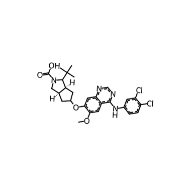 COc1cc2c(Nc3ccc(Cl)c(Cl)c3)ncnc2cc1OC1C[C@H]2CN(C(=O)O)C(C(C)(C)C)[C@H]2C1